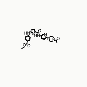 CCOC(=O)c1ccc(Nn2ccc(C(=O)Nc3ccc(N4CCN(C(C)=O)CC4)nc3)n2)cc1